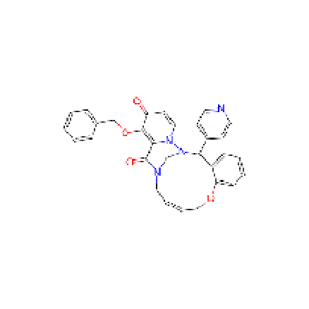 O=C1c2c(OCc3ccccc3)c(=O)ccn2N2CN1C/C=C\COc1ccccc1C2c1ccncc1